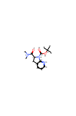 CN(C)C(=O)C1Cc2cccnc2N1C(=O)OC(C)(C)C